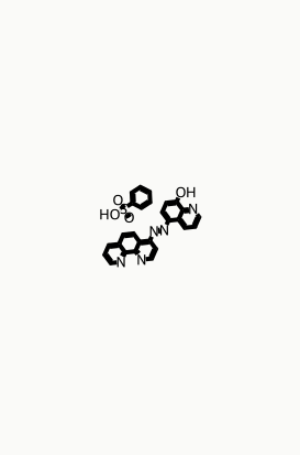 O=S(=O)(O)c1ccccc1.Oc1ccc(N=Nc2ccnc3c2ccc2cccnc23)c2cccnc12